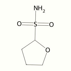 NS(=O)(=O)C1CCCO1